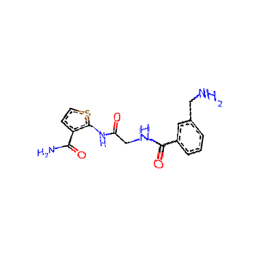 NCc1cccc(C(=O)NCC(=O)Nc2sccc2C(N)=O)c1